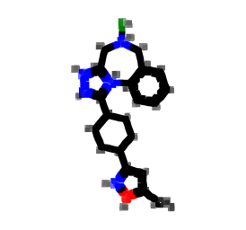 Cc1cc(C2CCC(c3nnc4n3-c3ccccc3CN(F)C4)CC2)no1